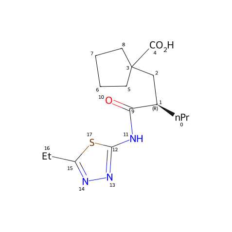 CCC[C@H](CC1(C(=O)O)CCCC1)C(=O)Nc1nnc(CC)s1